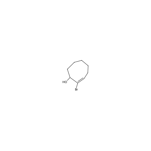 OC1CCCCCC=C1Br